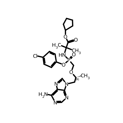 C[C@H](Cn1cnc2c(N)ncnc21)OCP(=O)(NC(C)(C)C(=O)OC1CCCC1)Oc1ccc(Cl)cc1